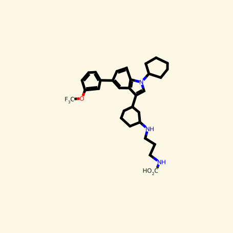 O=C(O)NCCCNC1CCCC(c2cn(C3CCCCC3)c3ccc(-c4cccc(OC(F)(F)F)c4)cc23)C1